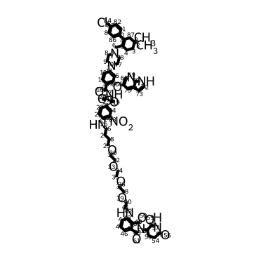 CC1(C)CCC(CN2CCN(c3ccc(C(=O)NS(=O)(=O)c4ccc(NCCCCOCCOCCOCCOCCNc5cccc6c5C(=O)N(C5CCC(=O)NC5=O)C6=O)c([N+](=O)[O-])c4)c(Oc4cnc5[nH]ccc5c4)c3)CC2)=C(c2ccc(Cl)cc2)C1